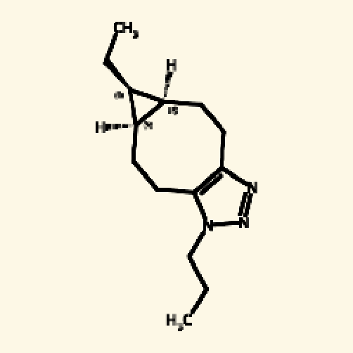 CCCn1nnc2c1CC[C@H]1[C@@H](CC)[C@H]1CC2